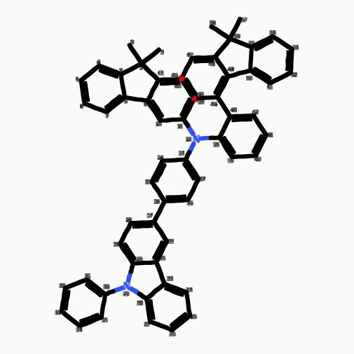 CC1(C)c2ccccc2-c2cc(N(c3ccc(-c4ccc5c(c4)c4ccccc4n5-c4ccccc4)cc3)c3ccccc3-c3cccc4c3-c3ccccc3C4(C)C)ccc21